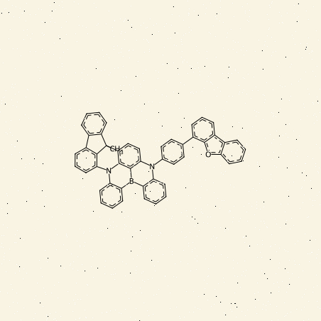 CC12c3ccccc3-c3cccc(c31)N1c3ccccc3B3c4ccccc4N(c4ccc(-c5cccc6c5oc5ccccc56)cc4)c4ccc2c1c43